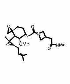 CNC(=O)CC1CN(C(=O)O[C@@H]2CC[C@]3(CO3)C([C@@]3(C)O[C@@H]3CC=C(C)C)[C@@H]2OC)C1